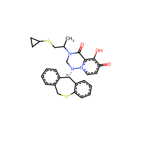 CC(CSC1CC1)N1CN([C@H]2c3ccccc3CSc3ccccc32)n2ccc(=O)c(O)c2C1=O